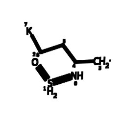 N=[SH2]=O.[CH2]CC[CH2][K]